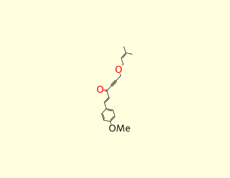 COc1ccc(C=CC(=O)C#CCOCC=C(C)C)cc1